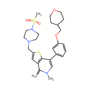 C=C1c2cc(CN3CCN(S(C)(=O)=O)CC3)sc2C(c2cccc(OCC3CCOCC3)c2)=CN1C